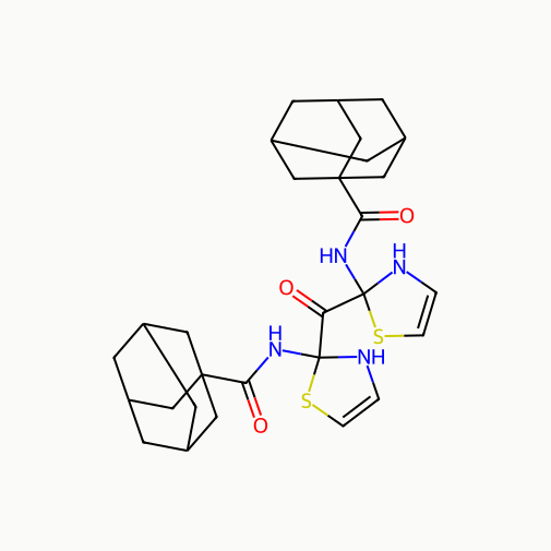 O=C(NC1(C(=O)C2(NC(=O)C34CC5CC(CC(C5)C3)C4)NC=CS2)NC=CS1)C12CC3CC(CC(C3)C1)C2